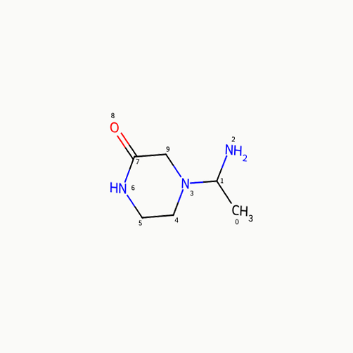 CC(N)N1CCNC(=O)C1